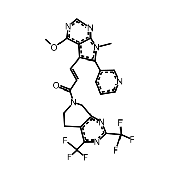 COc1ncnc2c1c(/C=C/C(=O)N1CCc3c(nc(C(F)(F)F)nc3C(F)(F)F)C1)c(-c1cccnc1)n2C